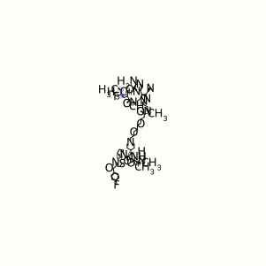 C/C=C\C(F)=C/C1C(=O)N(C)Cc2c(c(C#N)nn2CCN(C)C(=O)CCOCCOCCN2CCC([C@H](NC(=O)[C@H](C)NC)C(=O)N3CCC[C@H]3C3=NC(C(=O)c4ccc(F)cc4)CS3)CC2)-c2cnc(N)c(n2)O[C@@H]1C